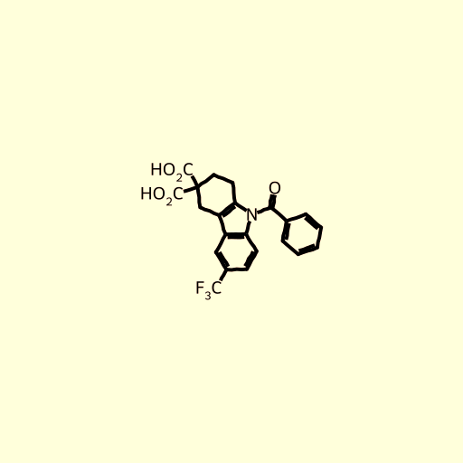 O=C(c1ccccc1)n1c2c(c3cc(C(F)(F)F)ccc31)CC(C(=O)O)(C(=O)O)CC2